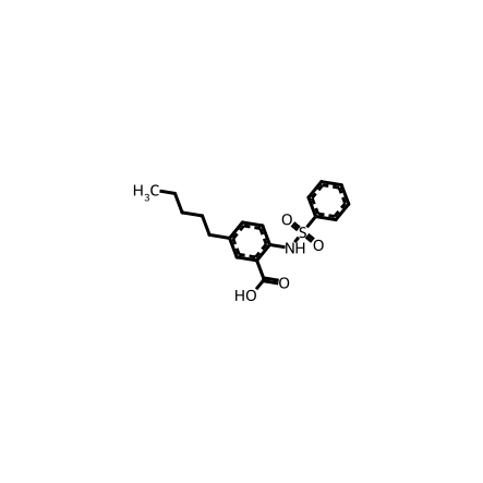 CCCCCc1ccc(NS(=O)(=O)c2ccccc2)c(C(=O)O)c1